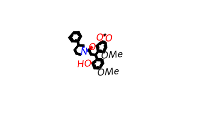 COc1cc(O)c(C(CC(=O)N2CCCC(c3ccccc3)C2)c2ccc3c(c2)OCO3)c(OC)c1